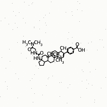 CC1C(c2ccc(C(=O)O)cc2)=CCC2(C)C1CCC1(C)C2CCC2C3CCCC3(NC(=O)NCC(=O)N(C)C)CC[C@]21C